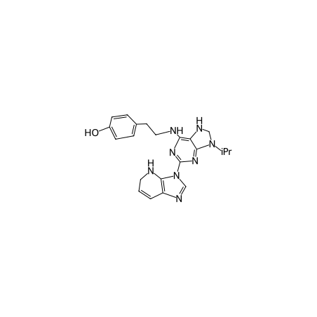 CC(C)N1CNc2c(NCCc3ccc(O)cc3)nc(-n3cnc4c3NCC=C4)nc21